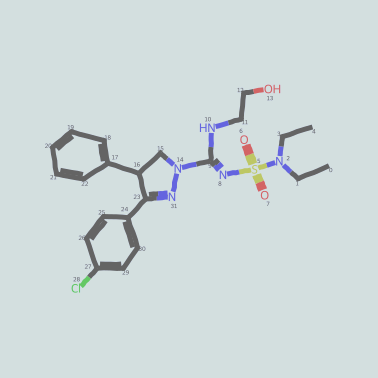 CCN(CC)S(=O)(=O)/N=C(\NCCO)N1CC(c2ccccc2)C(c2ccc(Cl)cc2)=N1